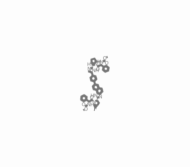 COC(=O)N[C@@H](C(=O)N1C2C(C[C@H]1c1nc3ccc4cc(-c5ccc(-c6cnc([C@@H]7[C@H]8CC[C@H](C8)N7C(=O)[C@H](NC(=O)OC)c7ccccc7)[nH]6)cc5)ccc4c3[nH]1)[C@H]2C)c1ccccc1